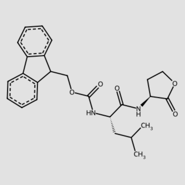 CC(C)C[C@H](NC(=O)OCC1c2ccccc2-c2ccccc21)C(=O)N[C@H]1CCOC1=O